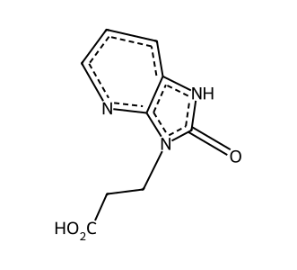 O=C(O)CCn1c(=O)[nH]c2cccnc21